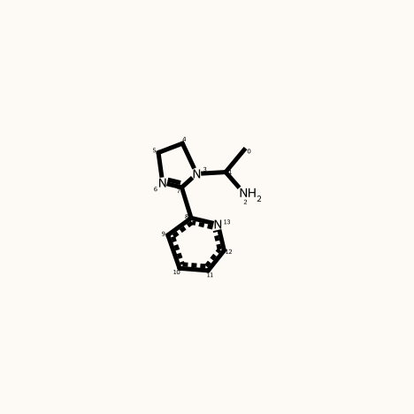 CC(N)N1CCN=C1c1ccccn1